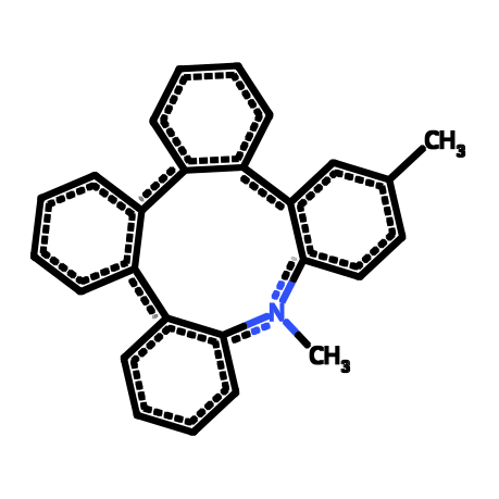 Cc1ccc2c(c1)c1ccccc1c1ccccc1c1ccccc1n2C